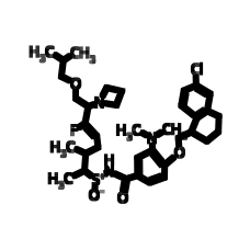 CC(C)COCC(/C(F)=C/CC(C)C(C)[S+]([O-])NC(=O)c1ccc(OCC2CCCc3cc(Cl)ccc32)c(N(C)C)c1)N1CCC1